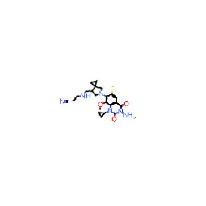 COc1c(N2CC(CNCCC#N)C3(CC3)C2)c(F)cc2c(=O)n(N)c(=O)n(C3CC3)c12